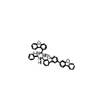 c1ccc(C2NC(c3cccc4c3oc3ccc(-c5ccc6c(c5)oc5ccccc56)cc34)NC(c3cccc4oc5ccccc5c34)N2)cc1